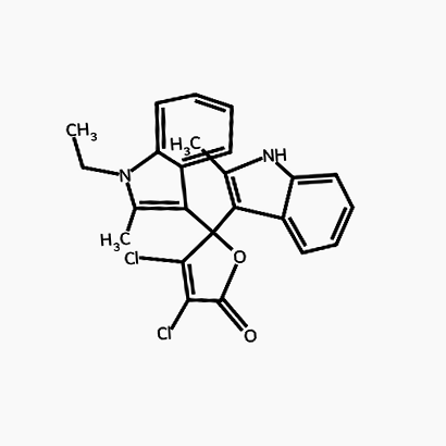 CCn1c(C)c(C2(c3c(C)[nH]c4ccccc34)OC(=O)C(Cl)=C2Cl)c2ccccc21